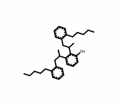 CCCCCc1ccccc1CC(C)c1cccc(O)c1C(C)Cc1ccccc1CCCCC